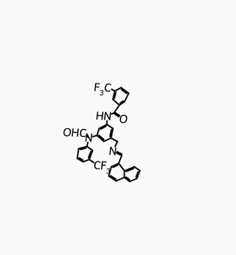 O=CN(c1cc(CN=Cc2cccc3ccccc23)cc(NC(=O)c2cccc(C(F)(F)F)c2)c1)c1cccc(C(F)(F)F)c1